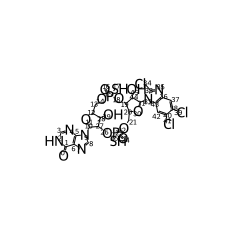 O=c1[nH]cnc2c1ncn2C1OC2COP(=O)(S)OC3C(COP(=O)(S)OC1C2O)OC(n1c(Cl)nc2cc(Cl)c(Cl)cc21)C3O